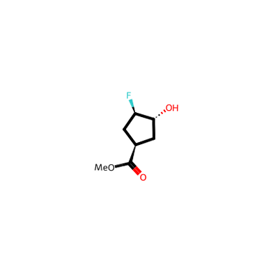 COC(=O)[C@@H]1C[C@@H](O)[C@H](F)C1